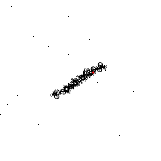 C=CC(=O)OCCOc1ccc(/N=N/c2ccc(/N=N/c3ccc(/N=N/c4ccc(OCCOC(=O)C=C)cc4F)cc3C)c(C)c2)cc1